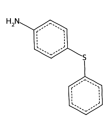 Nc1ccc(Sc2ccccc2)cc1